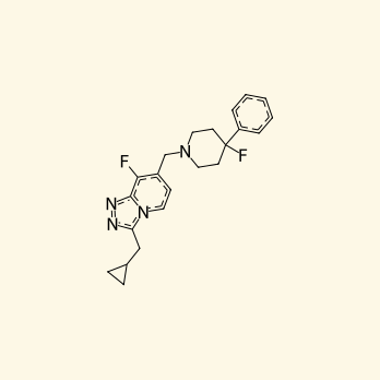 Fc1c(CN2CCC(F)(c3ccccc3)CC2)ccn2c(CC3CC3)nnc12